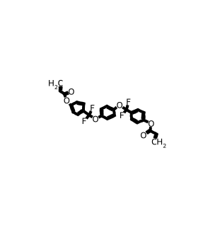 C=CC(=O)Oc1ccc(C(F)(F)Oc2ccc(OC(F)(F)c3ccc(OC(=O)C=C)cc3)cc2)cc1